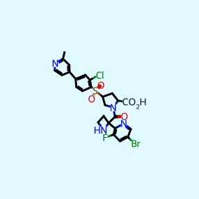 Cc1cc(-c2ccc(S(=O)(=O)C3CC(C(=O)O)N(C(=O)C4(c5ncc(Br)cc5F)CCN4)C3)c(Cl)c2)ccn1